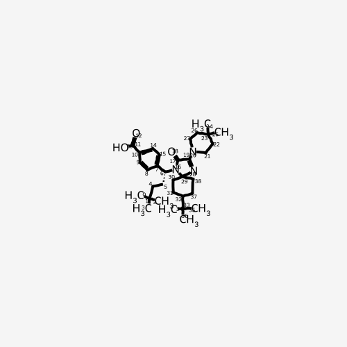 CC(C)(C)CC[C@H](c1ccc(C(=O)O)cc1)N1C(=O)C(N2CCC(C)(C)CC2)=NC12CCC(C(C)(C)C)CC2